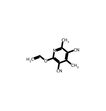 C=COc1nc(C)c(C#N)c(C)c1C#N